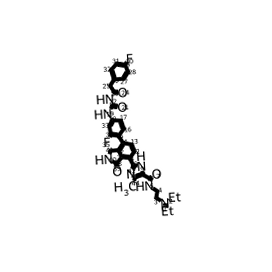 CCN(CC)CCNC(=O)c1[nH]c(-c2ccc(-c3ccc(NC(=O)NC(=O)Cc4ccc(F)cc4)cc3F)c3c2C(=O)NC3)nc1C